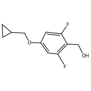 OCc1c(F)cc(OCC2CC2)cc1F